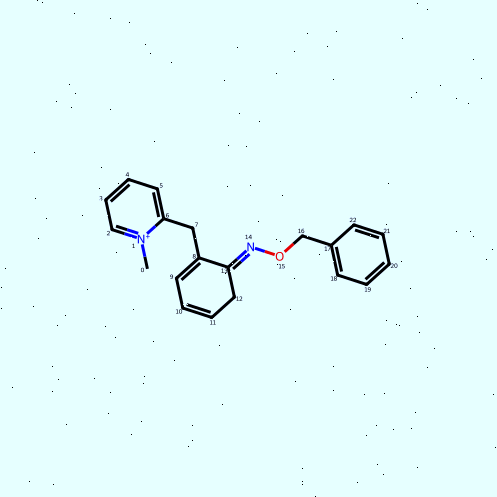 C[n+]1ccccc1CC1=CC=CCC1=NOCc1ccccc1